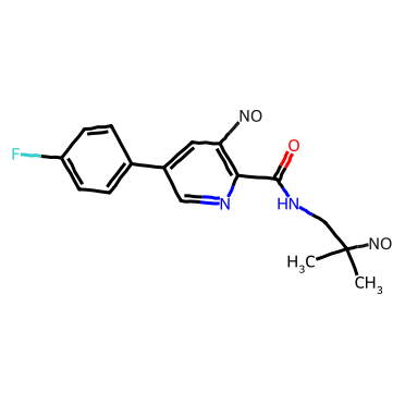 CC(C)(CNC(=O)c1ncc(-c2ccc(F)cc2)cc1N=O)N=O